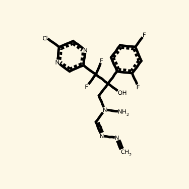 C=N/N=C\N(N)CC(O)(c1ccc(F)cc1F)C(F)(F)c1cnc(Cl)cn1